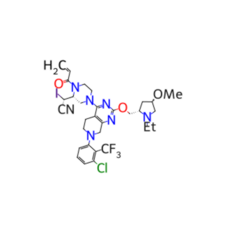 C=CC(=O)N1CCN(c2nc(OC[C@@H]3C[C@@H](OC)CN3CC)nc3c2CCN(c2cccc(Cl)c2C(F)(F)F)C3)C[C@@H]1[C@@H](I)C#N